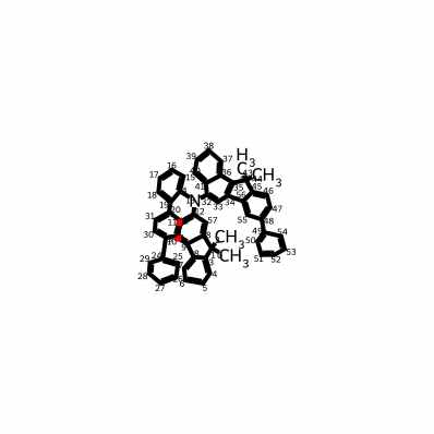 CC1(C)c2ccccc2-c2ccc(N(c3ccccc3-c3ccc(-c4ccccc4)cc3)c3cc4c(c5ccccc35)C(C)(C)c3ccc(-c5ccccc5)cc3-4)cc21